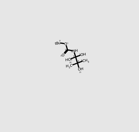 CC(C)(C)OC(=O)NC(O)(O)C(C)(C)O